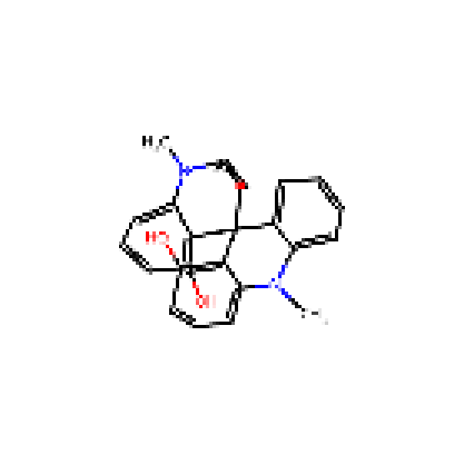 CN1c2ccccc2C2(c3ccccc3N(C)c3cccc(O)c32)c2c(O)cccc21